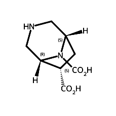 O=C(O)[C@H]1C[C@H]2CNC[C@@H]1N2C(=O)O